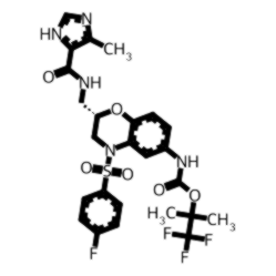 Cc1nc[nH]c1C(=O)NC[C@H]1CN(S(=O)(=O)c2ccc(F)cc2)c2cc(NC(=O)OC(C)(C)C(F)(F)F)ccc2O1